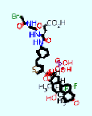 C[C@]12C=CC(=O)C=C1[C@@H](F)C[C@H]1[C@@H]3C[C@H]4O[C@@H](c5csc(Cc6cccc(NC(=O)[C@H](CCC(=O)O)NC(=O)CNC(=O)CBr)c6)c5)O[C@@]4(C(=O)COP(=O)(O)O)[C@@]3(C)C[C@H](O)[C@@]12F